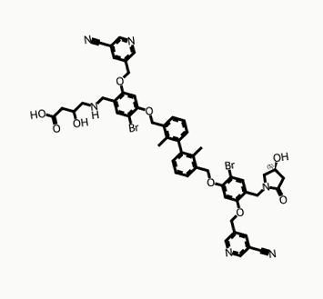 Cc1c(COc2cc(OCc3cncc(C#N)c3)c(CNCC(O)CC(=O)O)cc2Br)cccc1-c1cccc(COc2cc(OCc3cncc(C#N)c3)c(CN3C[C@@H](O)CC3=O)cc2Br)c1C